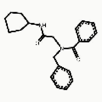 O=C(CN(Cc1ccccc1)C(=O)c1ccccc1)NC1CCCCC1